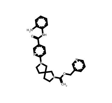 C=C(OCc1cccnc1)N1CCC2(CCN(c3ccc(C(=O)Nc4ccccc4N)cn3)C2)C1